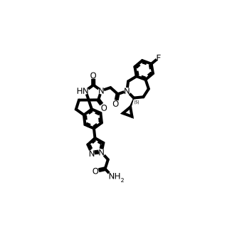 NC(=O)Cn1cc(-c2ccc3c(c2)CCC32NC(=O)N(CC(=O)N3Cc4ccc(F)cc4CC[C@H]3C3CC3)C2=O)cn1